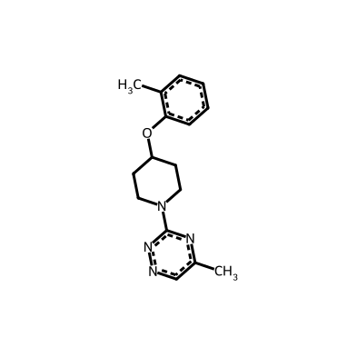 Cc1cnnc(N2CCC(Oc3ccccc3C)CC2)n1